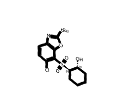 CC(C)(C)c1nc2ccc(Cl)c(S(=O)(=O)[C@@H]3CCCC[C@H]3O)c2o1